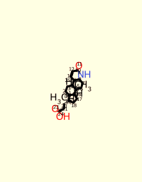 C[C@]12CC[C@H]3[C@@H](CCC4NC(=O)C=C[C@@]43C)[C@@H]1CC[C@@H]2CCC(=O)O